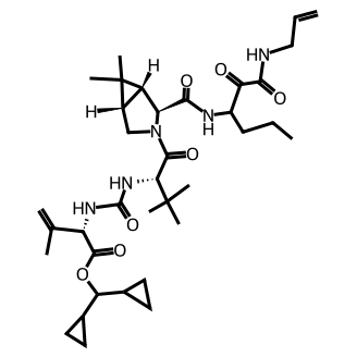 C=CCNC(=O)C(=O)C(CCC)NC(=O)[C@@H]1[C@@H]2[C@H](CN1C(=O)[C@@H](NC(=O)N[C@@H](C(=C)C)C(=O)OC(C1CC1)C1CC1)C(C)(C)C)C2(C)C